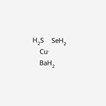 S.[BaH2].[Cu].[SeH2]